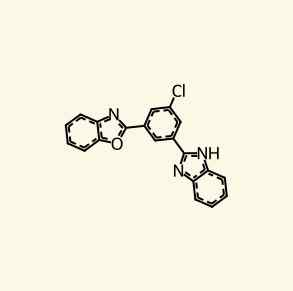 Clc1cc(-c2nc3ccccc3[nH]2)cc(-c2nc3ccccc3o2)c1